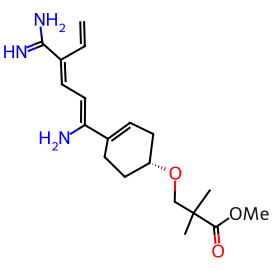 C=C/C(=C\C=C(/N)C1=CC[C@H](OCC(C)(C)C(=O)OC)CC1)C(=N)N